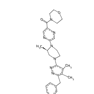 Cc1c(Cc2ccccc2)nnc(N2CCN(c3cnc(C(=O)N4CCOCC4)cn3)[C@H](C)C2)c1C